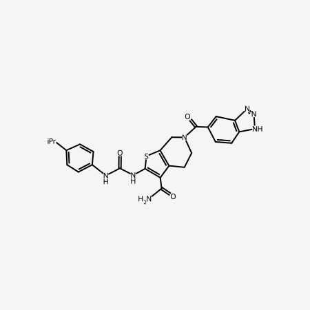 CC(C)c1ccc(NC(=O)Nc2sc3c(c2C(N)=O)CCN(C(=O)c2ccc4[nH]nnc4c2)C3)cc1